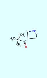 CC(C)(C)C(=O)[C@H]1CCNC1